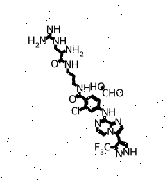 N=C(N)NCC(N)C(=O)NCCCNC(=O)c1ccc(Nc2nccn3c(-c4c[nH]nc4C(F)(F)F)cnc23)cc1Cl.O=CO